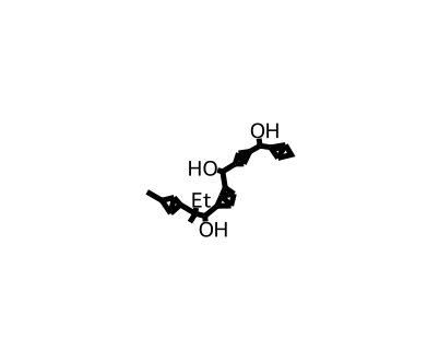 CCC(C)(C(O)C1C2C3C(C(O)C4C5=C(C(O)C6=C7CC76)C54)C132)C1C2C(C)C21